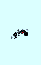 C[C@](F)(C1CCN(C(=O)Nc2ccnc(CO)c2)CC1)S(=O)(=O)c1cccc(F)c1